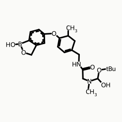 CC1CC(CNC(=O)CN(C)C(O)OC(C)(C)C)=CC=C1Oc1ccc2c(c1)COB2O